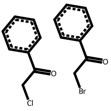 O=C(CBr)c1ccccc1.O=C(CCl)c1ccccc1